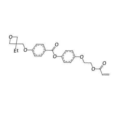 C=CC(=O)OCCOc1ccc(OC(=O)c2ccc(OCC3(CC)COC3)cc2)cc1